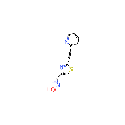 O/N=C/c1csc(C#Cc2ccccn2)n1